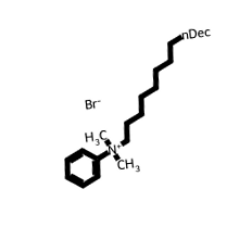 CCCCCCCCCCCCCCCCCC[N+](C)(C)c1ccccc1.[Br-]